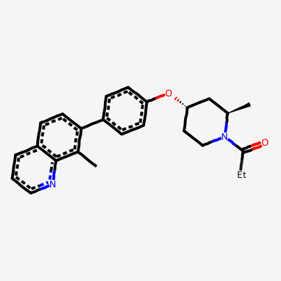 CCC(=O)N1CC[C@H](Oc2ccc(-c3ccc4cccnc4c3C)cc2)C[C@H]1C